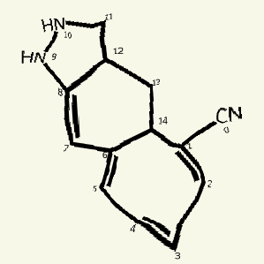 N#CC1=CC=CC=C2C=C3NNCC3CC12